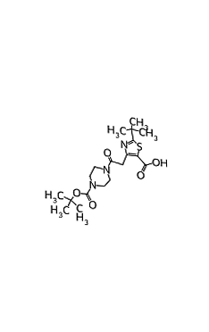 CC(C)(C)OC(=O)N1CCN(C(=O)Cc2nc(C(C)(C)C)sc2C(=O)O)CC1